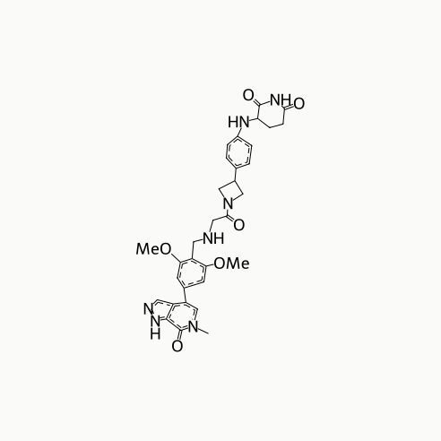 COc1cc(-c2cn(C)c(=O)c3[nH]ncc23)cc(OC)c1CNCC(=O)N1CC(c2ccc(NC3CCC(=O)NC3=O)cc2)C1